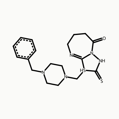 O=C1CCCN=C2N1NC(=S)[SH]2CN1CCN(Cc2ccccc2)CC1